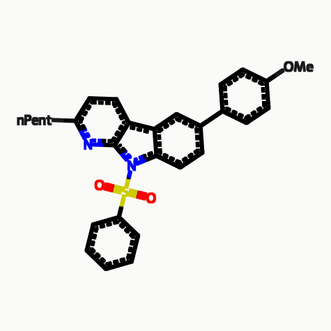 CCCCCc1ccc2c3cc(-c4ccc(OC)cc4)ccc3n(S(=O)(=O)c3ccccc3)c2n1